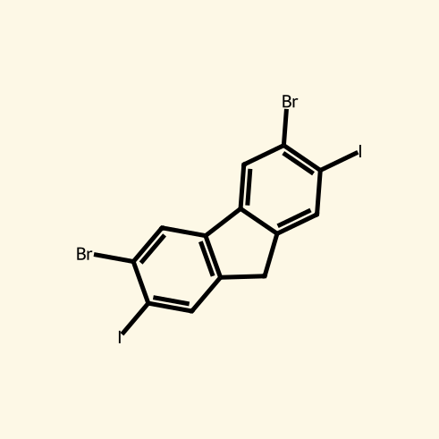 Brc1cc2c(cc1I)Cc1cc(I)c(Br)cc1-2